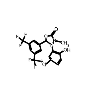 CN1C(=O)OC(c2cc(C(F)(F)F)cc(C(F)(F)F)c2)N1c1cc(Cl)ccc1O